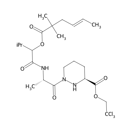 C/C=C/CC(C)(C)C(=O)OC(C(=O)N[C@@H](C)C(=O)N1CCC[C@@H](C(=O)OCC(Cl)(Cl)Cl)N1)C(C)C